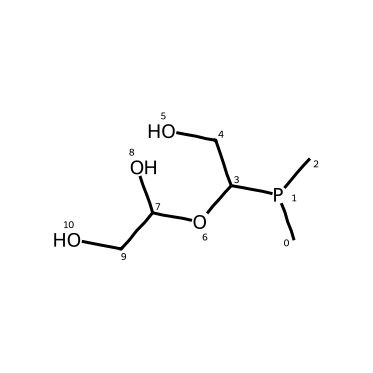 CP(C)C(CO)OC(O)CO